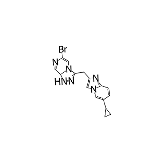 BrC1=CN2C(Cc3cn4cc(C5CC5)ccc4n3)=NNC2C=N1